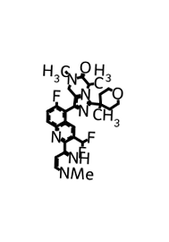 CN/C=C\C(=N)c1nc2ccc(F)c(-c3nc(C4(C)CCOCC4)n4c3CN(C)C(=O)C4C)c2cc1C(F)F